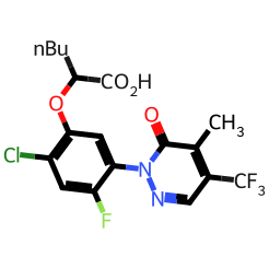 CCCCC(Oc1cc(-n2ncc(C(F)(F)F)c(C)c2=O)c(F)cc1Cl)C(=O)O